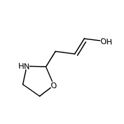 OC=CCC1NCCO1